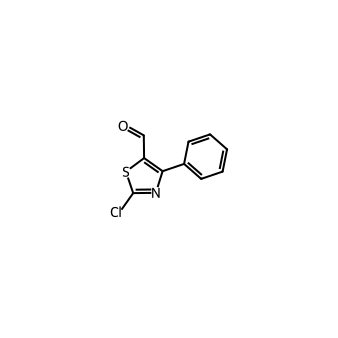 O=Cc1sc(Cl)nc1-c1ccccc1